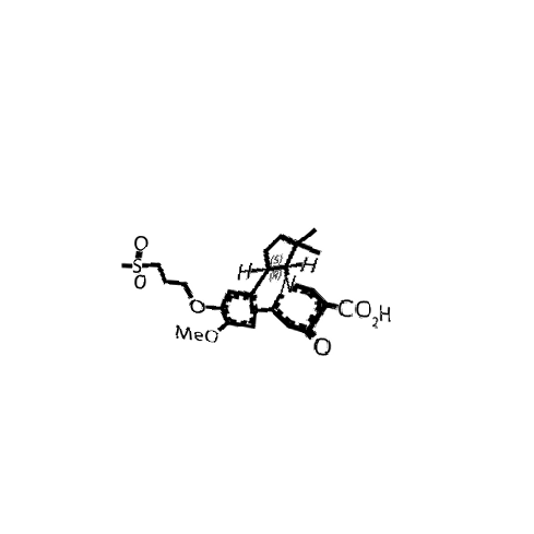 COc1cc2c(cc1OCCCS(C)(=O)=O)[C@@H]1CCC(C)(C)[C@@H]1n1cc(C(=O)O)c(=O)cc1-2